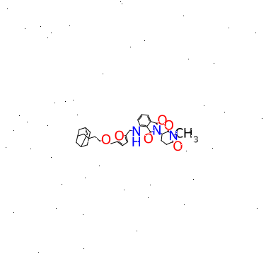 CN1C(=O)CCC(N2C(=O)c3cccc(NCc4ccc(COCCC56CC7CC(CC(C7)C5)C6)o4)c3C2=O)C1=O